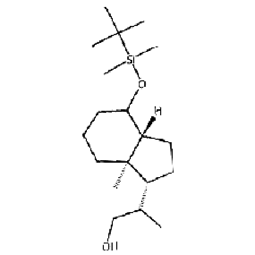 CC(CO)[C@H]1CC[C@H]2C(O[Si](C)(C)C(C)(C)C)CCC[C@]12C